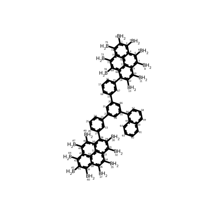 Bc1c(B)c2c(B)c(B)c3c(B)c(B)c(-c4cccc(-c5cc(-c6cccc(-c7c(B)c(B)c8c(B)c(B)c9c(B)c(B)c(B)c%10c(B)c(B)c7c8c9%10)c6)cc(-c6cccc7ccccc67)c5)c4)c4c(B)c(B)c(c1B)c2c34